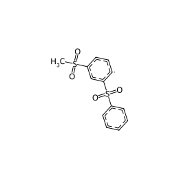 CS(=O)(=O)c1cc[c]c(S(=O)(=O)c2ccccc2)c1